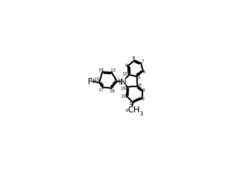 Cc1ccc2c3ccccc3n(-c3ccc(F)cc3)c2c1